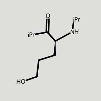 CC(C)N[C@@H](CCCO)C(=O)C(C)C